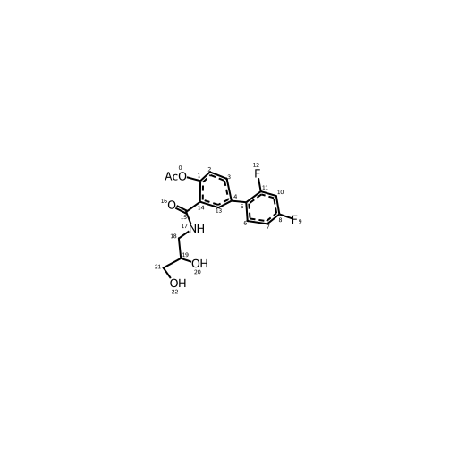 CC(=O)Oc1ccc(-c2ccc(F)cc2F)cc1C(=O)NCC(O)CO